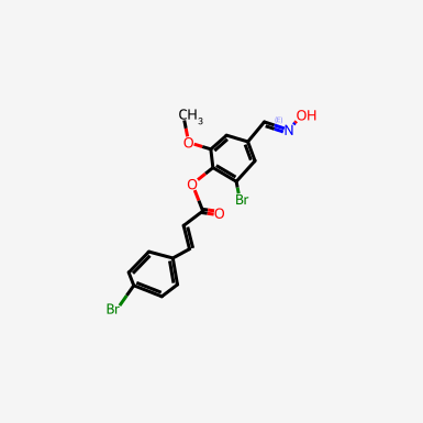 COc1cc(/C=N/O)cc(Br)c1OC(=O)C=Cc1ccc(Br)cc1